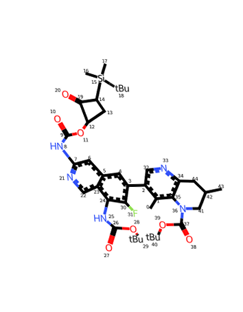 Cc1c(-c2cc3cc(NC(=O)OC4CC([Si](C)(C)C(C)(C)C)C4=O)ncc3c(NC(=O)OC(C)(C)C)c2F)cnc2c1N(C(=O)OC(C)(C)C)CC(C)C2